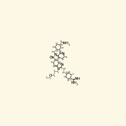 CCOCCCn1c(CCc2ccc(C(=N)N)cc2)nc2cc(C(=O)N(Cc3ccc(CN)cc3)c3cccnc3)ccc21